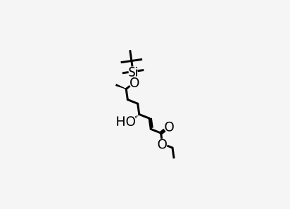 CCOC(=O)/C=C/[C@H](O)CC[C@@H](C)O[Si](C)(C)C(C)(C)C